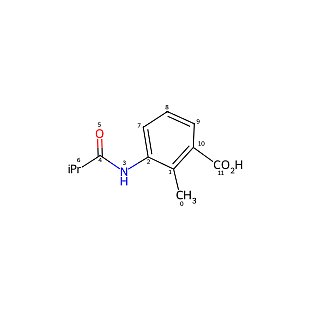 Cc1c(NC(=O)C(C)C)cccc1C(=O)O